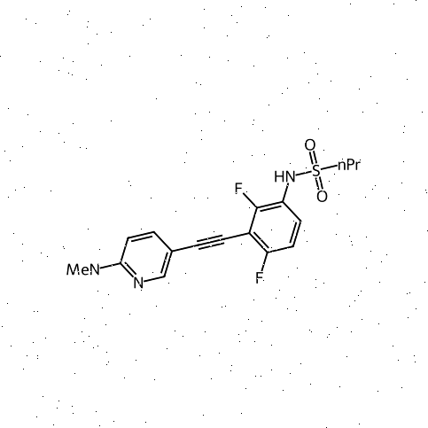 CCCS(=O)(=O)Nc1ccc(F)c(C#Cc2ccc(NC)nc2)c1F